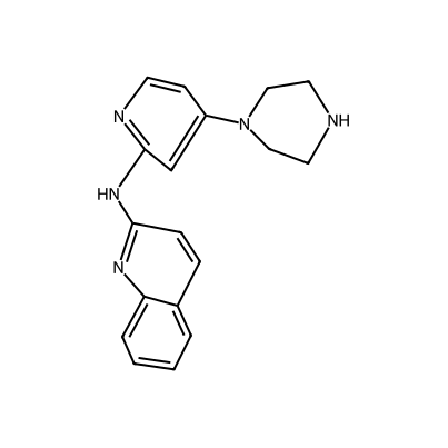 c1ccc2nc(Nc3cc(N4CCNCC4)ccn3)ccc2c1